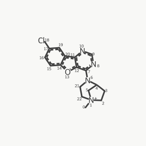 C[N+]12CCC(C1)N(c1ncnc3c1oc1ccc(Cl)cc13)CC2